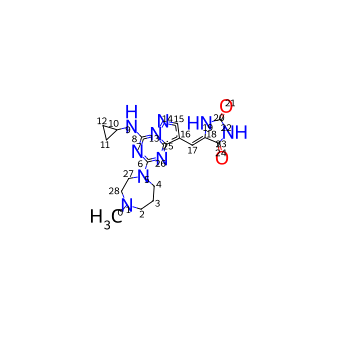 CN1CCCN(c2nc(NC3CC3)n3ncc(/C=C4\NC(=O)NC4=O)c3n2)CC1